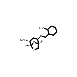 CO[C@@H]1C[C@@H](OCC2CCCCC2C)[C@H]2CO[C@@H]1O2